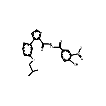 CC(C)COc1cccc(-c2ccoc2C(=O)NNC(=O)c2ccc(O)c([N+](=O)[O-])c2)c1